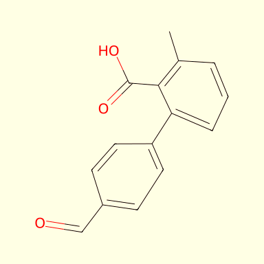 Cc1cccc(-c2ccc(C=O)cc2)c1C(=O)O